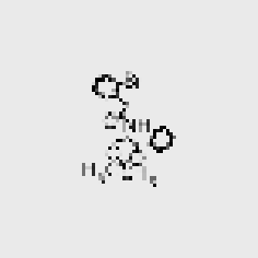 CC1(C)OC[C@H](NC(=O)Cc2ccccc2Br)[C@H](c2ccccc2)O1